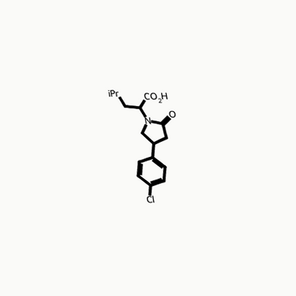 CC(C)CC(C(=O)O)N1CC(c2ccc(Cl)cc2)CC1=O